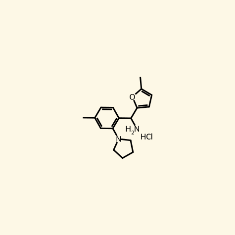 Cc1ccc(C(N)c2ccc(C)o2)c(N2CCCC2)c1.Cl